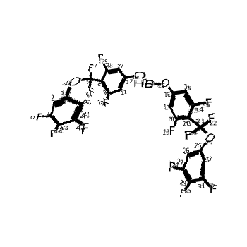 Fc1cc(OC(F)(F)c2c(F)cc(OBOc3cc(F)c(C(F)(F)Oc4cc(F)c(F)c(F)c4)c(F)c3)cc2F)cc(F)c1F